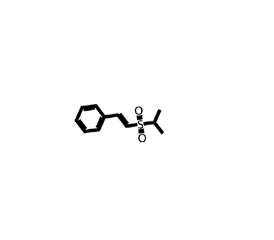 CC(C)S(=O)(=O)C=Cc1ccccc1